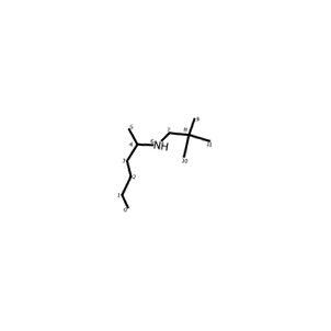 CCCCC(C)NCC(C)(C)C